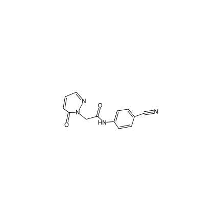 N#Cc1ccc(NC(=O)Cn2ncccc2=O)cc1